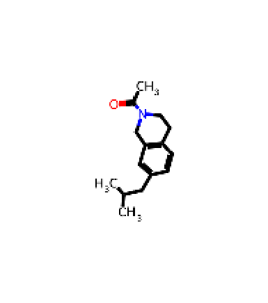 CC(=O)N1CCc2ccc(CC(C)C)cc2C1